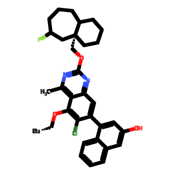 CC[C@@H](C)COc1c(Cl)c(-c2cc(O)cc3ccccc23)cc2nc(OC[C@@]34CCCCC3CCCC(F)C4)nc(C)c12